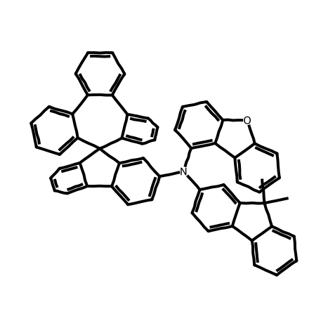 CC1(C)c2ccccc2-c2ccc(N(c3ccc4c(c3)C3(c5ccccc5-c5ccccc5-c5ccccc53)c3ccccc3-4)c3cccc4oc5ccccc5c34)cc21